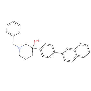 OC1(c2ccc(-c3ccc4ccccc4c3)cc2)CCCN(Cc2ccccc2)C1